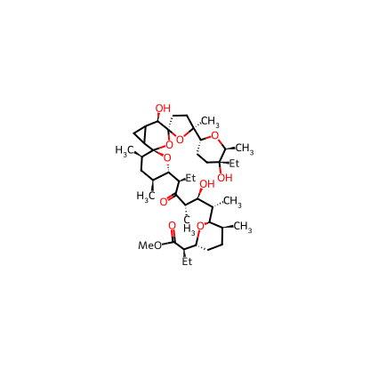 CC[C@@H](C(=O)[C@@H](C)[C@@H](O)[C@H](C)[C@@H]1O[C@@H]([C@@H](CC)C(=O)OC)CC[C@@H]1C)[C@H]1O[C@@]2(O[C@@]3(CC[C@@](C)([C@H]4CC[C@](O)(CC)[C@H](C)O4)O3)[C@H](O)C3CC32)[C@H](C)C[C@@H]1C